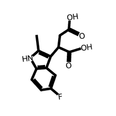 Cc1[nH]c2ccc(F)cc2c1C(CC(=O)O)C(=O)O